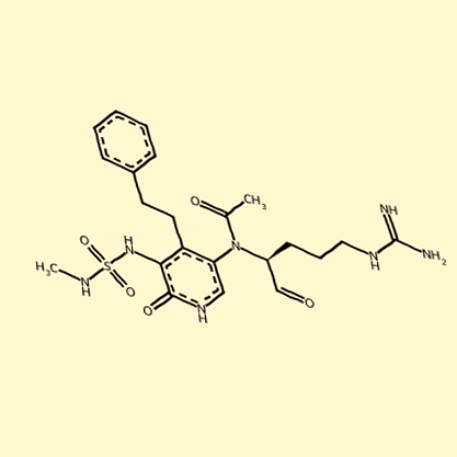 CNS(=O)(=O)Nc1c(CCc2ccccc2)c(N(C(C)=O)[C@H](C=O)CCCNC(=N)N)c[nH]c1=O